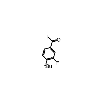 CC(C)(C)c1ccc(C(=O)I)cc1F